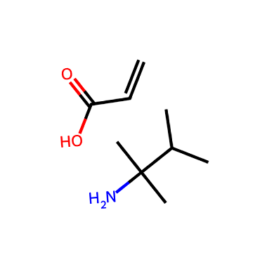 C=CC(=O)O.CC(C)C(C)(C)N